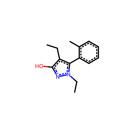 CCc1c(O)nn(CC)c1-c1ccccc1C